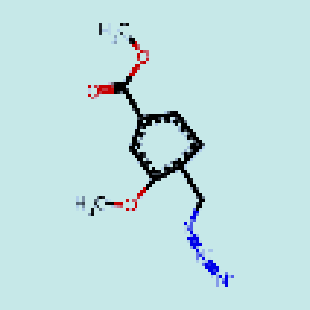 COC(=O)c1ccc(CN=[N+]=[N-])c(OC)c1